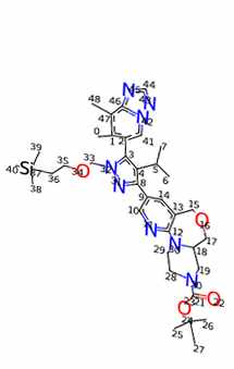 Cc1c(-c2c(C(C)C)c(-c3cnc4c(c3)COCC3CN(C(=O)OC(C)(C)C)CCN43)nn2COCC[Si](C)(C)C)cn2ncnc2c1C